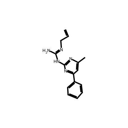 C=CCN=C(N)Nc1nc(C)cc(-c2ccccc2)n1